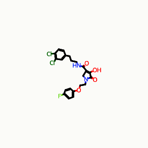 O=C(NCCCc1ccc(Cl)c(Cl)c1)C1=C(O)C(=O)N(CCOc2ccc(F)cc2)C1